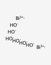 [Bi+3].[Bi+3].[OH-].[OH-].[OH-].[OH-].[OH-].[OH-]